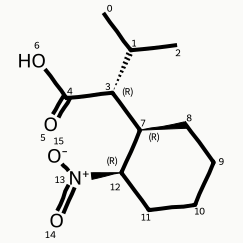 CC(C)[C@@H](C(=O)O)[C@H]1CCCC[C@H]1[N+](=O)[O-]